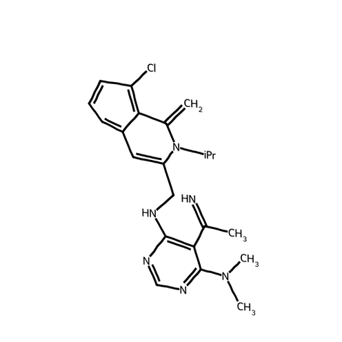 C=C1c2c(Cl)cccc2C=C(CNc2ncnc(N(C)C)c2C(C)=N)N1C(C)C